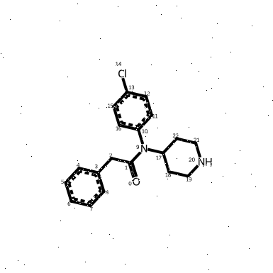 O=C(Cc1ccccc1)N(c1ccc(Cl)cc1)C1CCNCC1